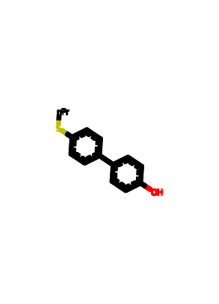 CCCSc1ccc(-c2ccc(O)cc2)cc1